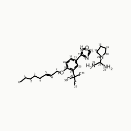 CCCCC/C=C/COc1ccc(-c2noc([C@@H]3CCCN3C(N)N)n2)cc1C(F)(F)F